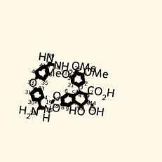 COc1cc([C@@H]2c3cc4c(cc3[C@H](O)[C@@H](CO)[C@@H]2C(=O)O)OCO4)cc(OC)c1OC.N=C(N)c1ccc(Oc2ccc(C(=N)N)cc2)cc1